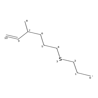 [CH2]CCSCCCC(C)C=C